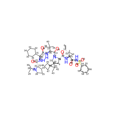 C=C[C@@H]1C[C@]1(NC(=O)[C@@H]1C[C@@]2(CN1C(=O)[C@@H](NC(=O)[C@@H](NC(=O)[C@@H]1CCCN1C(C)C)C1CCCCC1)C(C)(C)C)C(C)(C)C21CCC1)C(=O)NS(=O)(=O)c1ccccc1